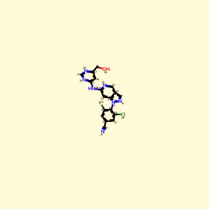 N#Cc1cc(F)c(-n2ncc3cnc(Nc4cc(CO)ncn4)cc32)c(Cl)c1